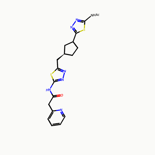 CC(=O)Nc1nnc(C2CC[C@@H](Cc3nnc(NC(=O)Cc4ccccn4)s3)C2)s1